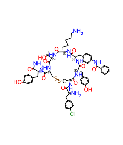 C[C@@H](O)[C@@H]1NC(=O)[C@H](CCCCCN)NC(=O)[C@@H](Cc2ccc(NC(=O)c3ccccc3)cc2)NC(=O)[C@H](Cc2ccc(O)cc2)NC(=O)[C@H](NC(=O)[C@@H](N)Cc2ccc(Cl)cc2)CSSC[C@@H](C(=O)/N=C(\Cc2ccc(O)cc2)C(N)=O)NC1=O